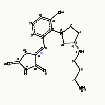 NCCCN[C@H]1CCN(c2c(Cl)cccc2/C=C2\SC(=O)NC2=O)C1